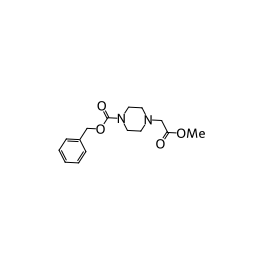 COC(=O)CN1CCN(C(=O)OCc2ccccc2)CC1